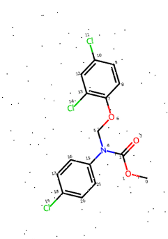 COC(=O)N(COc1ccc(Cl)cc1Cl)c1ccc(Cl)cc1